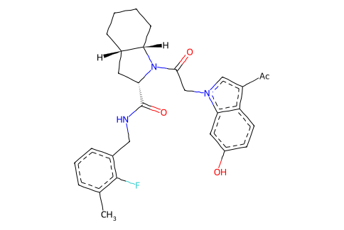 CC(=O)c1cn(CC(=O)N2[C@H](C(=O)NCc3cccc(C)c3F)C[C@@H]3CCCC[C@@H]32)c2cc(O)ccc12